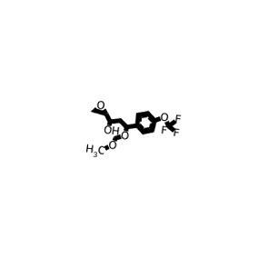 COCOC(CC(O)C1CO1)c1ccc(OC(F)(F)F)cc1